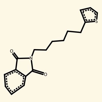 O=C1c2ccccc2C(=O)N1CCCCCCc1cccs1